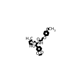 COc1ccc(OCCC(=O)N[C@H](CN2CCCC2C)[C@@H](O)c2ccc3c(c2)OCCO3)cc1